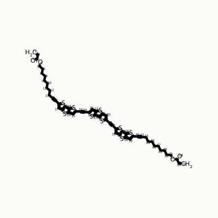 C=CC(=O)OCCCCCCCCCC#Cc1cc2sc3cc(C#Cc4cc5sc6cc(C#Cc7cc8sc9cc(C#CCCCCCCCCCOC(=O)C=C)sc9c8s7)sc6c5s4)sc3c2s1